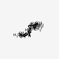 COC(OC)c1nc2c(cc1CO[Si](C)(C)C(C)(C)C)CCCN2C(=O)Nc1cc(N2CCC3(CCN(C(=O)OC(C)(C)C)C3)CC2)c(C#N)cn1